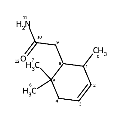 CC1C=CCC(C)(C)C1CC(N)=O